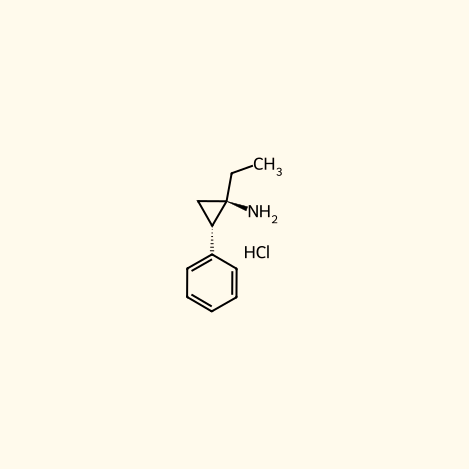 CC[C@@]1(N)C[C@H]1c1ccccc1.Cl